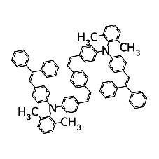 Cc1cccc(C)c1N(c1ccc(C=C(c2ccccc2)c2ccccc2)cc1)c1ccc(/C=C\c2ccc(/C=C\c3ccc(N(c4ccc(C=C(c5ccccc5)c5ccccc5)cc4)c4c(C)cccc4C)cc3)cc2)cc1